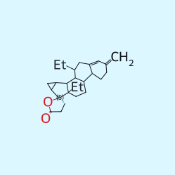 C=C1C=C2CC(CC)C3C(CCC4(CC)C3C3CC3[C@@]43CCC(=O)O3)C2CC1